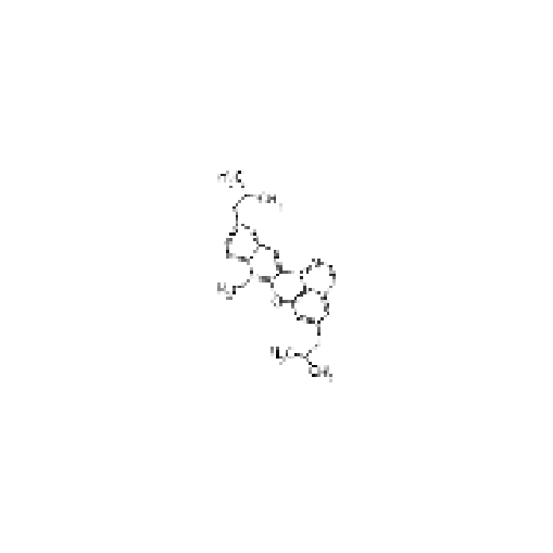 Cc1c2c(cc3cc(CC(C)C)ccc13)-c1nccc3cc(CC(C)C)cc(c13)O2